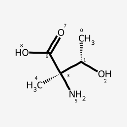 C[C@H](O)[C@@](C)(N)C(=O)O